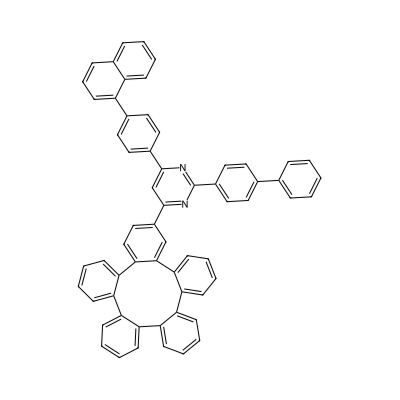 c1ccc(-c2ccc(-c3nc(-c4ccc(-c5cccc6ccccc56)cc4)cc(-c4ccc5c6ccccc6c6ccccc6c6ccccc6c6ccccc6c5c4)n3)cc2)cc1